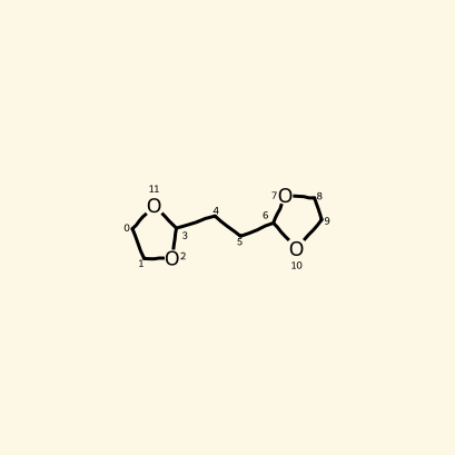 C1COC(CCC2OCCO2)O1